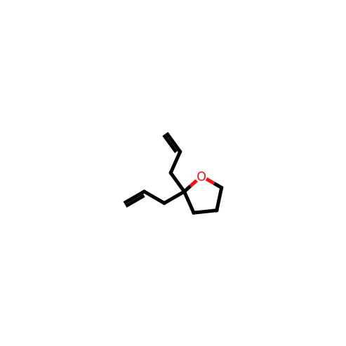 C=CCC1(CC=C)CCCO1